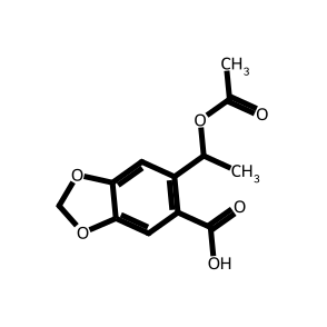 CC(=O)OC(C)c1cc2c(cc1C(=O)O)OCO2